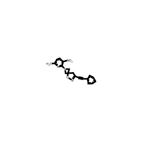 Cc1ccc([N+](=O)[O-])c(N2CC3(CC(C#Cc4ccccc4)=NO3)C2)n1